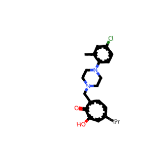 Cc1cc(Cl)ccc1N1CCN(Cc2ccc(C(C)C)cc(O)c2=O)CC1